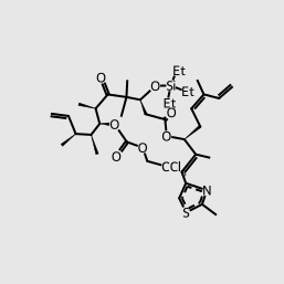 C=C/C(C)=C\C[C@H](OC(=O)C[C@H](O[Si](CC)(CC)CC)C(C)(C)C(=O)[C@H](C)[C@@H](OC(=O)OCC(Cl)(Cl)Cl)[C@@H](C)[C@@H](C)C=C)/C(C)=C/c1csc(C)n1